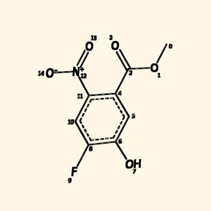 COC(=O)c1cc(O)c(F)cc1[N+](=O)[O-]